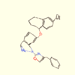 N#Cc1ccc2c(c1)CCCC2Oc1ccc2cnn(-c3nc(-c4ccccc4)co3)c2c1